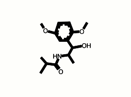 COc1ccc(OC)c(C(O)C(C)NC(=O)C(C)C)c1